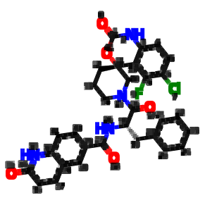 O=C1Nc2ccc(Cl)c(F)c2[C@@]2(CCCN(C(=O)[C@H](Cc3ccccc3)NC(=O)c3ccc4[nH]c(=O)ccc4c3)C2)O1